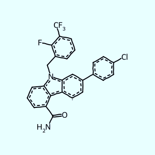 NC(=O)c1cccc2c1c1[c]cc(-c3ccc(Cl)cc3)cc1n2Cc1cccc(C(F)(F)F)c1F